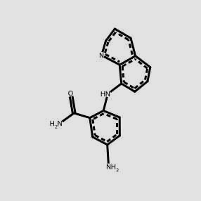 NC(=O)c1cc(N)ccc1Nc1cccc2cccnc12